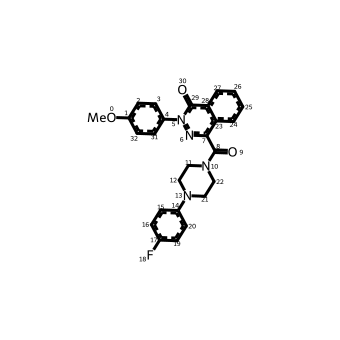 COc1ccc(-n2nc(C(=O)N3CCN(c4ccc(F)cc4)CC3)c3ccccc3c2=O)cc1